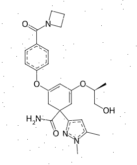 Cc1cc(C2(C(N)=O)C=C(O[C@@H](C)CO)C=C(Oc3ccc(C(=O)N4CCC4)cc3)C2)nn1C